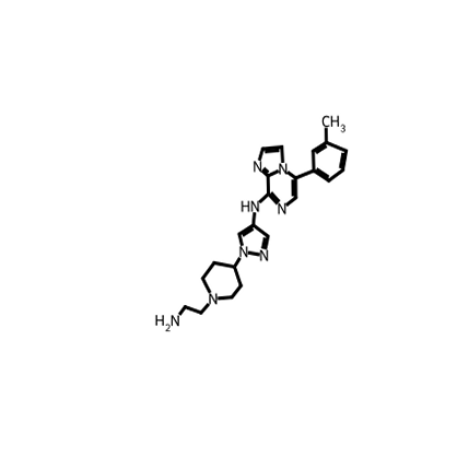 Cc1cccc(-c2cnc(Nc3cnn(C4CCN(CCN)CC4)c3)c3nccn23)c1